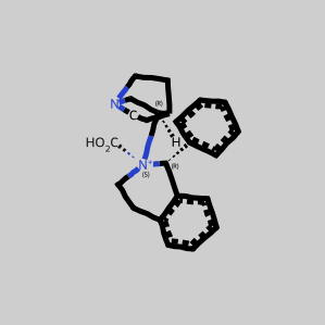 O=C(O)[N@@+]1([C@H]2CN3CCC2CC3)CCc2ccccc2[C@H]1c1ccccc1